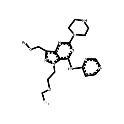 CC(C)OCc1nn(CCOCC(F)(F)F)c2c(Nc3ccncn3)nc(N3CCNCC3)nc12